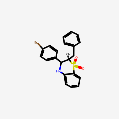 N#CC1(Cc2ccccc2)C(c2ccc(Br)cc2)Nc2ccccc2S1(=O)=O